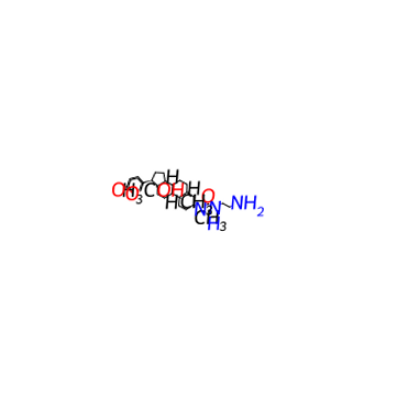 CN(C(=O)NCCN)[C@H]1CC[C@@]2(C)[C@H](CC[C@@H]3[C@@H]2CC[C@]2(C)[C@@H](c4ccc(=O)oc4)CC[C@]32O)C1